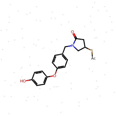 CC(=O)SC1CC(=O)N(Cc2ccc(Oc3ccc(O)cc3)cc2)C1